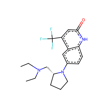 CCN(CC)C[C@H]1CCCN1c1ccc2[nH]c(=O)cc(C(F)(F)F)c2c1